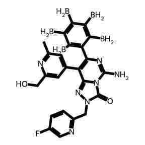 Bc1c(B)c(B)c(-c2nc(N)n3c(=O)n(Cc4ccc(F)cn4)nc3c2-c2cc(C)nc(CO)c2)c(B)c1B